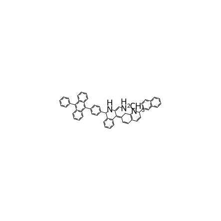 CN1C2=C(C=C/C(=C3/C(=C\N)NC(c4ccc(-c5c6ccccc6c(-c6ccccc6)c6ccccc56)cc4)c4ccccc43)C2)C=CC1c1ccc2ccccc2c1